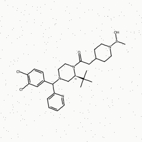 CB(O)N1CCC(CC(=O)N2CCN(C(c3ccc(Cl)c(Cl)c3)c3ccccn3)C[C@@H]2C(C)(C)C)CC1